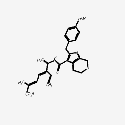 C=C/C(=C\C=C(/C)C(=O)O)C(C)NC(=O)c1c(Cc2ccc(OC)cc2)sc2c1CCOC2